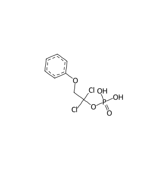 O=P(O)(O)OC(Cl)(Cl)COc1ccccc1